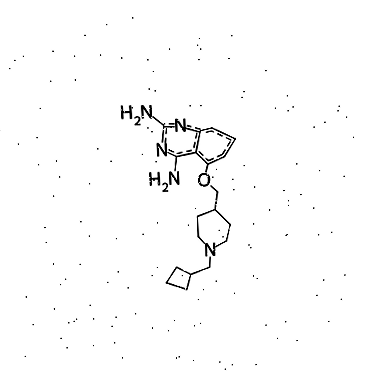 Nc1nc(N)c2c(OCC3CCN(CC4CCC4)CC3)cccc2n1